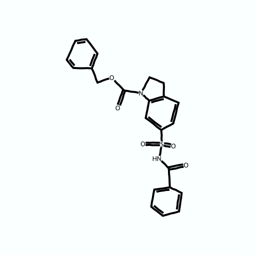 O=C(NS(=O)(=O)c1ccc2c(c1)N(C(=O)OCc1ccccc1)CC2)c1ccccc1